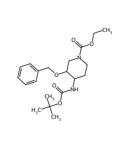 CCOC(=O)N1CCC(NC(=O)OC(C)(C)C)C(OCc2ccccc2)C1